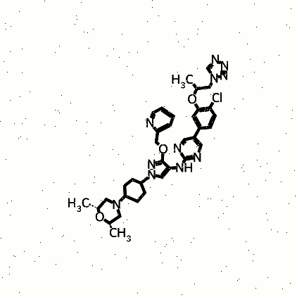 CC(Cn1cnnn1)Oc1cc(-c2cnc(Nc3cn(C4CCC(N5C[C@@H](C)O[C@@H](C)C5)CC4)nc3OCc3ccccn3)nc2)ccc1Cl